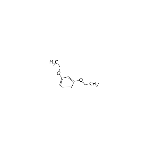 [CH2]COc1cccc(OCC)c1